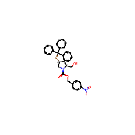 O=C(OCc1ccc([N+](=O)[O-])cc1)N1C[C@@H](SC(c2ccccc2)(c2ccccc2)c2ccccc2)C[C@H]1CO